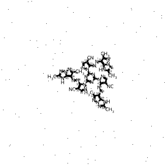 [C-]#[N+]c1cnn(-c2nc(-n3ncc(C#N)c3/N=N/c3c(C)nn4nc(C)[nH]c34)nc(-n3ncc(C#N)c3/N=N/c3c(C)nn4nc(C)[nH]c34)n2)c1/N=N/c1c(C)nn2nc(C)[nH]c12